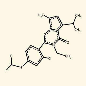 CCn1c(-c2ccc(SC(F)F)cc2Cl)nn2c(C)cc(C(C)C)c2c1=O